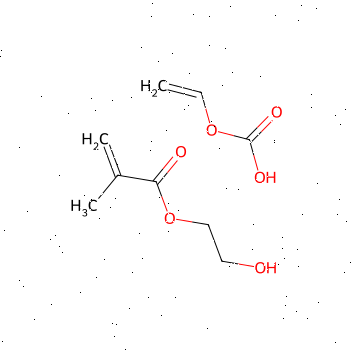 C=C(C)C(=O)OCCO.C=COC(=O)O